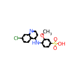 COc1cc(S(=O)(=O)O)ccc1Nc1ccnc2cc(Cl)ccc12